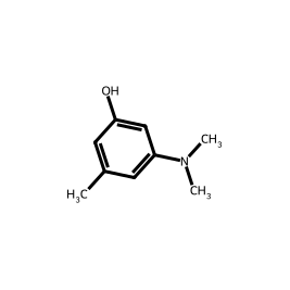 Cc1cc(O)cc(N(C)C)c1